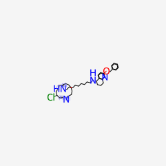 ClC1/C=C/N=C/CCCC/C=C(NCCCCCCCCCNC2CCCc3nc(OCc4ccccc4)ccc32)/C=C/C1